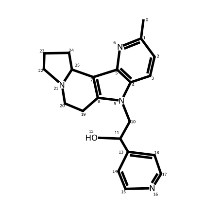 Cc1ccc2c(n1)c1c(n2CC(O)c2ccncc2)CCN2CCCC12